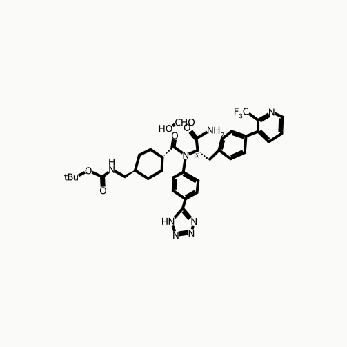 CC(C)(C)OC(=O)NC[C@H]1CC[C@H](C(=O)N(c2ccc(-c3nnn[nH]3)cc2)[C@@H](Cc2ccc(-c3cccnc3C(F)(F)F)cc2)C(N)=O)CC1.O=CO